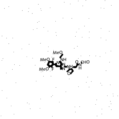 COCCNc1nc(-c2c(F)c(OC)cc(OC)c2F)cc2cnc(N[C@@H]3COCC[C@H]3C=CC(=O)NC=O)nc12